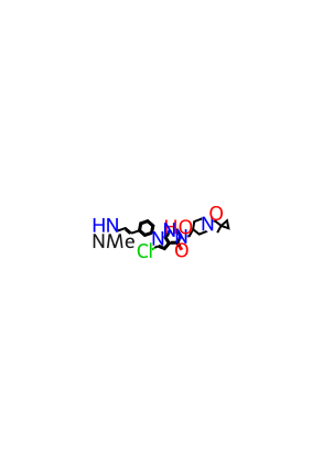 CN/C(=C\C=N)c1cccc(-n2c(Cl)cc3c(=O)n(CC4(O)CCN(C(=O)C5(C)CC5)CC4)cnc32)c1